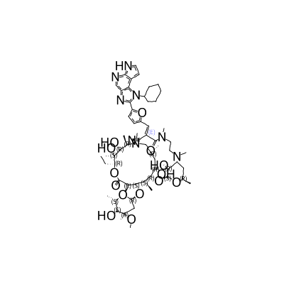 CC[C@H]1OC(=O)[C@H](C)[C@@H](O[C@H]2C[C@@](C)(OC)[C@@H](O)[C@H](C)O2)[C@H](C)[C@@H](O[C@@H]2O[C@H](C)CC(N(C)CCN(C)C(=O)/C(C#N)=C/c3ccc(-c4nc5cnc6[nH]ccc6c5n4C4CCCCC4)o3)[C@H]2O)[C@](C)(O)C[C@@H](C)CN(C)[C@H](C)[C@@H](O)[C@]1(C)O